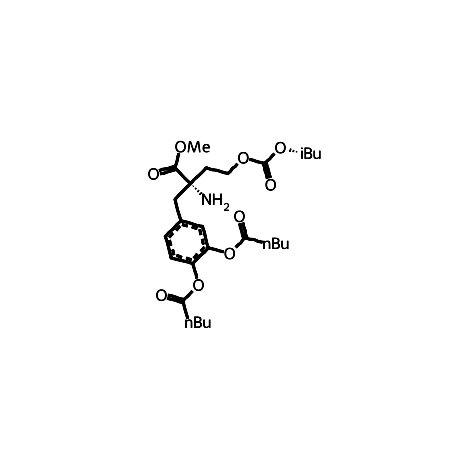 CCCCC(=O)Oc1ccc(C[C@](N)(CCOC(=O)O[C@@H](C)CC)C(=O)OC)cc1OC(=O)CCCC